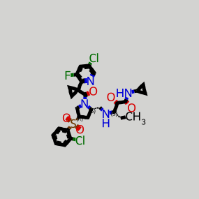 CC[C@H](NC[C@@H]1C[C@@H](S(=O)(=O)c2ccccc2Cl)CN1C(=O)C1(c2ncc(Cl)cc2F)CC1)C(=O)C(=O)NC1CC1